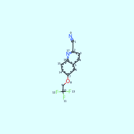 N#Cc1ccc2cc(OCC(F)(F)F)ccc2n1